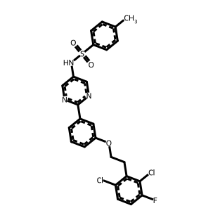 Cc1ccc(S(=O)(=O)Nc2cnc(-c3cccc(OCCc4c(Cl)ccc(F)c4Cl)c3)nc2)cc1